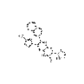 Cc1ccc(-c2nc3[nH]c(=O)c(-c4ncc[nH]4)cc3nc2-c2ccc3ncccc3c2)o1